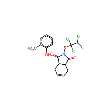 O=C(O)c1ccccc1O.O=C1C2CC=CCC2C(=O)N1SC(Cl)(Cl)C(Cl)Cl